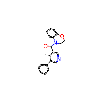 Cc1c(C(=O)N2CCOc3ccccc32)cncc1-c1ccccc1